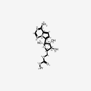 CC(C)OC(=O)OC[C@H]1O[C@@](C#N)(c2ccc3c(N)ncnn23)[C@H](O)[C@H]1O